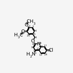 COc1ccc(COc2cc(N)c3ccc(Cl)cc3n2)cc1OC